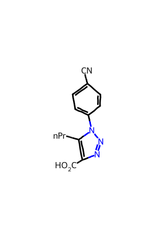 CCCc1c(C(=O)O)nnn1-c1ccc(C#N)cc1